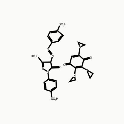 O=C(O)C1=NN(c2ccc(S(=O)(=O)O)cc2)C(=O)C1/N=N/c1ccc(S(=O)(=O)O)cc1.O=C1C=C(N2CC2)C(=O)C(N2CC2)=C1N1CC1